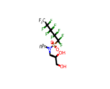 CCCN(CC(O)CO)S(=O)(=O)C(F)(F)C(F)(F)C(F)(F)C(F)(F)C(F)(F)F